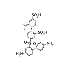 CC(C)=C1C=C(S(=O)(=O)O)C=CC1c1ccc(S(=O)(=O)c2cc(N)ccc2-c2ccc(N)cc2)cc1S(=O)(=O)O